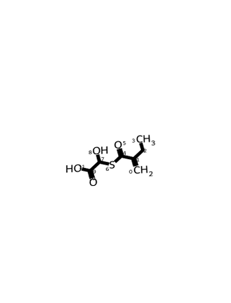 C=C(CC)C(=O)SC(O)C(=O)O